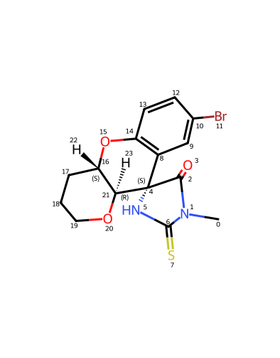 CN1C(=O)[C@]2(NC1=S)c1cc(Br)ccc1O[C@H]1CCCO[C@@H]12